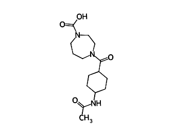 CC(=O)NC1CCC(C(=O)N2CCCN(C(=O)O)CC2)CC1